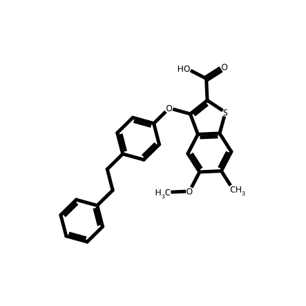 COc1cc2c(Oc3ccc(CCc4ccccc4)cc3)c(C(=O)O)sc2cc1C